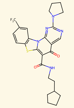 O=C(NCCC1CCCC1)c1c(=O)c2cnc(N3CCCC3)nc2n2c1sc1ccc(C(F)(F)F)cc12